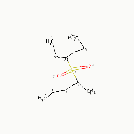 CCCC(C)S(=O)(=O)C(CC)CC